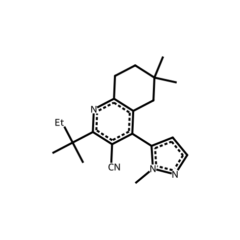 CCC(C)(C)c1nc2c(c(-c3ccnn3C)c1C#N)CC(C)(C)CC2